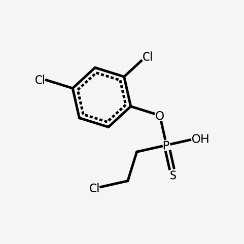 OP(=S)(CCCl)Oc1ccc(Cl)cc1Cl